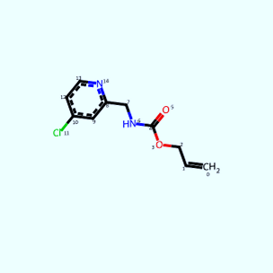 C=CCOC(=O)NCc1cc(Cl)ccn1